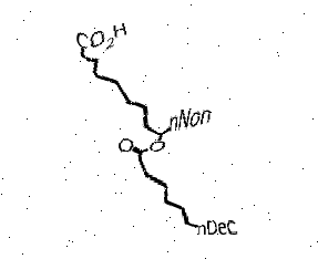 CCCCCCCCCCCCCCCC(=O)OC(CCCCCCCCC)CCCCCCCC(=O)O